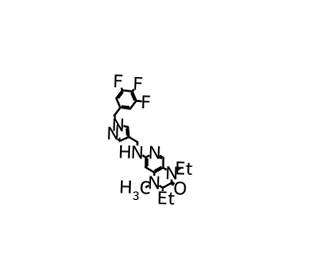 CC[C@@H]1C(=O)N(CC)c2cnc(NCc3cnn(Cc4cc(F)c(F)c(F)c4)c3)cc2N1C